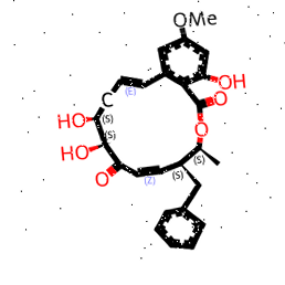 COc1cc(O)c2c(c1)/C=C/C[C@H](O)[C@H](O)C(=O)/C=C\[C@H](Cc1ccccc1)[C@H](C)OC2=O